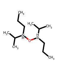 CCC[SiH](O[SiH](CCC)C(C)C)C(C)C